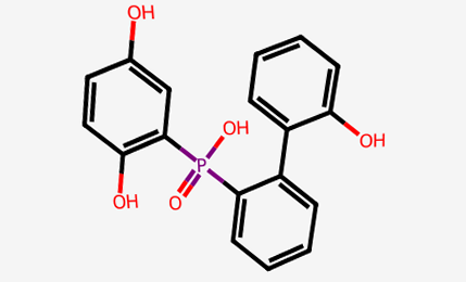 O=P(O)(c1cc(O)ccc1O)c1ccccc1-c1ccccc1O